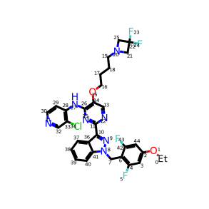 CCOc1cc(F)c(Cn2nc(-c3ncc(OCCCCN4CC(F)(F)C4)c(Nc4ccncc4Cl)n3)c3ccccc32)c(F)c1